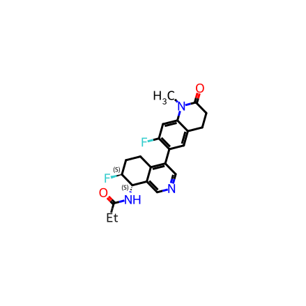 CCC(=O)N[C@H]1c2cncc(-c3cc4c(cc3F)N(C)C(=O)CC4)c2CC[C@@H]1F